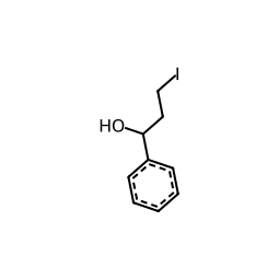 OC(CCI)c1ccccc1